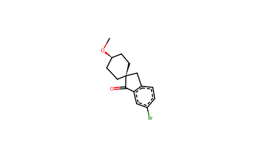 CO[C@H]1CC[C@@]2(CC1)Cc1ccc(Br)cc1C2=O